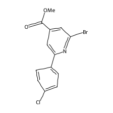 COC(=O)c1cc(Br)nc(-c2ccc(Cl)cc2)c1